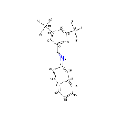 CC(C)(C)c1cc(/C=N/c2ccc3ccccc3c2)cc(C(C)(C)C)c1